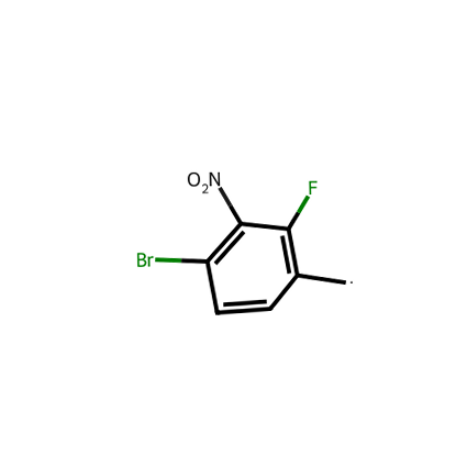 [CH2]c1ccc(Br)c([N+](=O)[O-])c1F